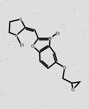 CCN1CCSC1=Cc1oc2ccc(OCC3CO3)cc2[n+]1CC